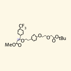 COC(=O)/C=C(\OCCc1ccc(OCCOCC(=O)OC(C)(C)C)cc1)c1ccc(C(F)(F)F)cc1